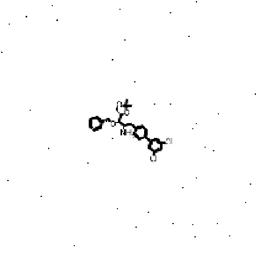 CC1(C)OC[C@@H]([C@H](OCc2ccccc2)[C@H](N)Cc2ccc(-c3cc(Cl)cc(Cl)c3)cc2)O1